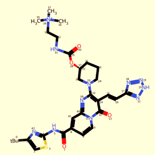 CC(C)(C)c1csc(NC(=O)c2ccn3c(=O)c(C=Cc4nn[nH]n4)c(N4CCC[C@H](OC(=O)NCC[N+](C)(C)C)C4)nc3c2)n1